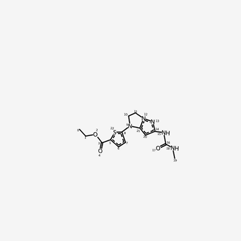 CCOC(=O)c1ccc(N2CCn3nc(NC(=O)NC)cc32)s1